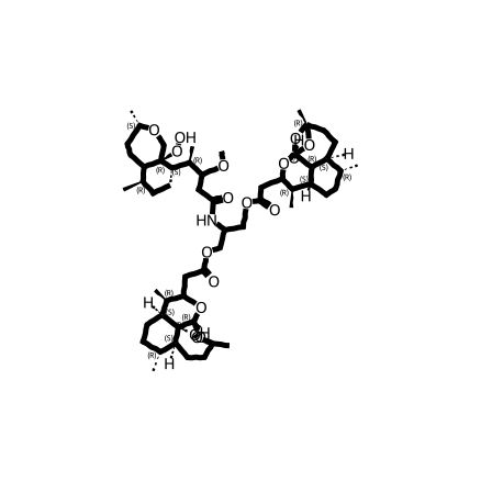 COC(CC(=O)NC(COC(=O)CC1O[C@@H]2OC3(C)CC[C@H]4[C@H](C)CC[C@@H]([C@H]1C)[C@@]24OO3)COC(=O)CC1O[C@@H]2O[C@@]3(C)CC[C@H]4[C@H](C)CC[C@@H]([C@H]1C)[C@@]24OO3)[C@H](C)[C@@H]1CC[C@@H](C)C2CC[C@H](C)OC[C@@]21OO